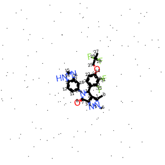 Cc1c2c(nn1C)C(=O)N(c1ccc3[nH]cnc3c1)C2c1ccc(OCC(C)(F)F)c(F)c1F